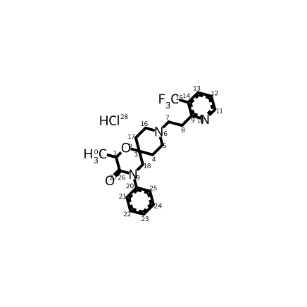 CC1OC2(CCN(CCc3ncccc3C(F)(F)F)CC2)CN(c2ccccc2)C1=O.Cl